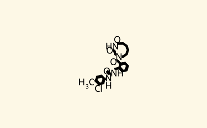 Cc1ccc(NC(=O)NCc2ccccc2C(=O)N2CCCCCC(=O)NC(=O)C2)cc1Cl